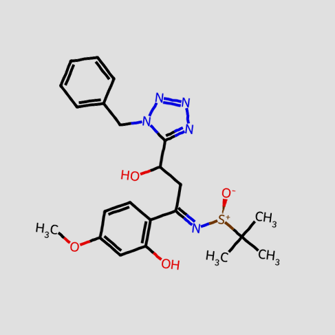 COc1ccc(/C(CC(O)c2nnnn2Cc2ccccc2)=N/[S@@+]([O-])C(C)(C)C)c(O)c1